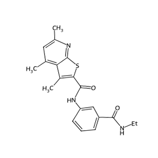 CCNC(=O)c1cccc(NC(=O)c2sc3nc(C)cc(C)c3c2C)c1